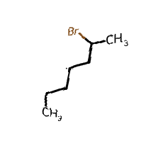 CCC[CH]CC(C)Br